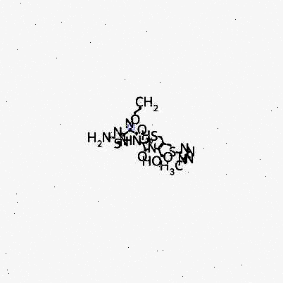 C=CCO/N=C(\C(=O)NC1C(=O)N2C(C(=O)O)=C(CSc3nnnn3C)CS[C@H]12)c1nsc(N)n1